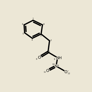 O=C(Cc1ccccc1)N[N+](=O)[O-]